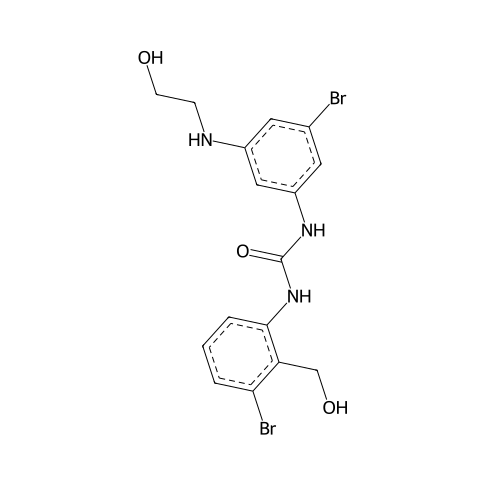 O=C(Nc1cc(Br)cc(NCCO)c1)Nc1cccc(Br)c1CO